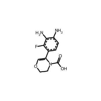 Nc1ccc(C2=COCCN2C(=O)O)c(F)c1N